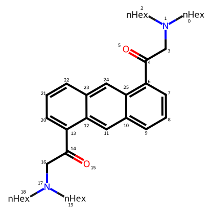 CCCCCCN(CCCCCC)CC(=O)c1cccc2cc3c(C(=O)CN(CCCCCC)CCCCCC)cccc3cc12